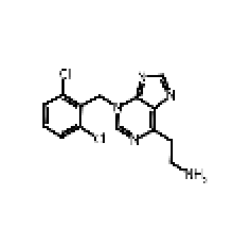 NCCc1ncn(Cc2c(Cl)cccc2Cl)c2ncnc1-2